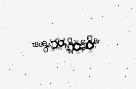 CC(C)(C)OC(=O)N1CCC2(CC[C@H](n3cnc4ccc(Oc5c(F)ccc(Br)c5Cl)cc4c3=O)C2)CC1